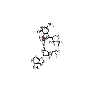 Nc1nc2c(ncn2[C@@]23CS[C@H](COP(=O)(S)O[C@H]4[C@H](F)[C@H](n5nnc6c(N)ncnc65)O[C@@H]4COP(=O)(S)O2)[C@@H]3F)c(=O)[nH]1